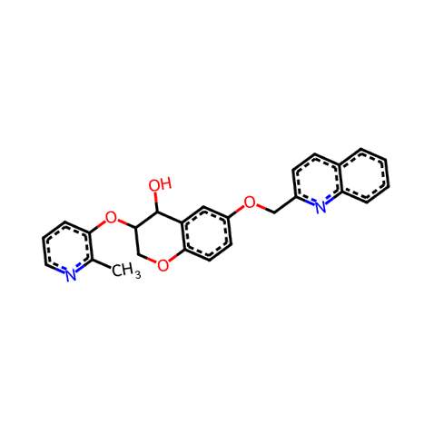 Cc1ncccc1OC1COc2ccc(OCc3ccc4ccccc4n3)cc2C1O